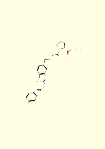 COC(=O)[C@@H]1CCCN1C(=O)CNC(=O)c1ccc2c(c1)nc(Nc1nc3ccc(Cl)cc3s1)n2C